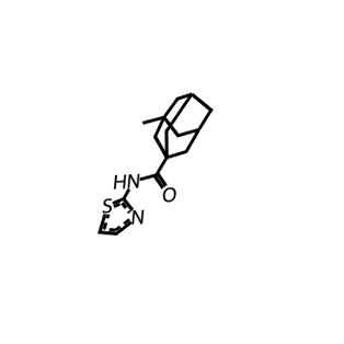 CC12CC3CC(C1)CC(C(=O)Nc1nccs1)(C3)C2